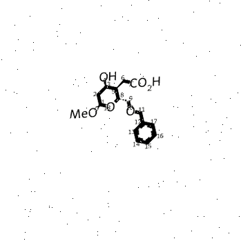 CO[C@H]1C[C@@H](O)[C@@H](CC(=O)O)[C@H](COCc2ccccc2)O1